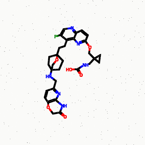 O=C(O)NCC1(COc2ccc3ncc(F)c(CCC45CCC(NCc6ccc7c(n6)NC(=O)CO7)(CC4)CO5)c3n2)CC1